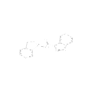 O=C(N[C@@H]1CCc2ccccc21)n1nnc2ccccc21